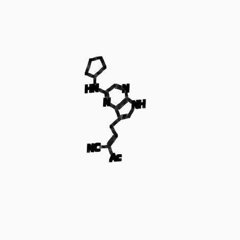 CC(=O)C(C#N)=CCc1c[nH]c2ncc(NC3CCCC3)nc12